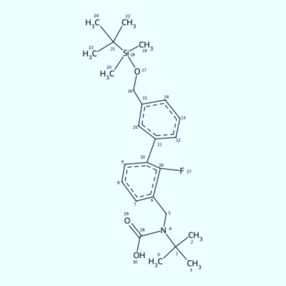 CC(C)(C)N(Cc1cccc(-c2cccc(CO[Si](C)(C)C(C)(C)C)c2)c1F)C(=O)O